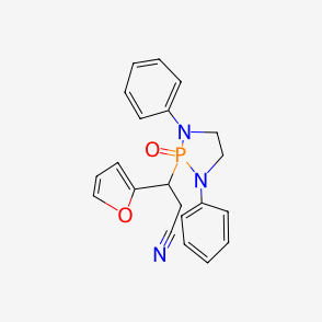 N#CCC(c1ccco1)P1(=O)N(c2ccccc2)CCN1c1ccccc1